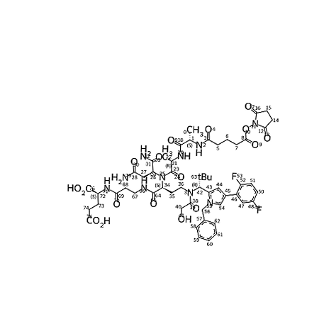 C[C@H](NC(=O)CCCC(=O)ON1C(=O)CCC1=O)C(=O)N[C@H](C)C(=O)N([C@@H](CC(N)=O)C(N)=O)[C@@H](CCN(C(=O)CO)[C@@H](c1cc(-c2cc(F)ccc2F)cn1Cc1ccccc1)C(C)(C)C)C(=O)NCCC(=O)N[C@@H](CCC(=O)O)C(=O)O